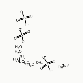 O.O.O.O.O.O.O.O.O=S(=O)([O-])[O-].O=S(=O)([O-])[O-].O=S(=O)([O-])[O-].[Tm+3].[Tm+3]